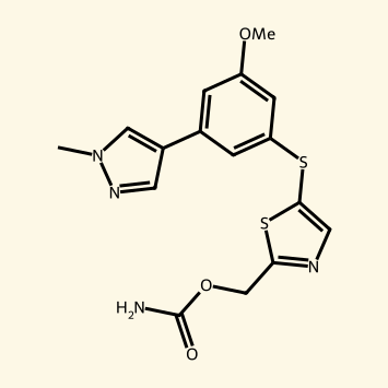 COc1cc(Sc2cnc(COC(N)=O)s2)cc(-c2cnn(C)c2)c1